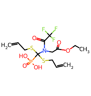 C=CCSC(SCC=C)(N(CC(=O)OCC)C(=O)C(F)(F)F)P(=O)(O)O